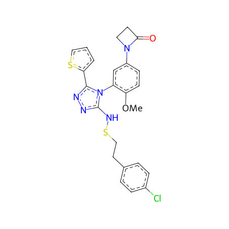 COc1ccc(N2CCC2=O)cc1-n1c(NSCCc2ccc(Cl)cc2)nnc1-c1cccs1